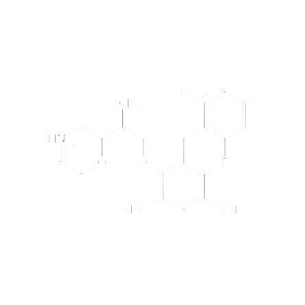 Cc1cc(C)c(OCC(C)C2CNCCO2)c(Cc2c(F)cccc2F)c1